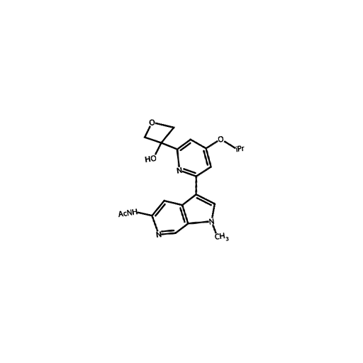 CC(=O)Nc1cc2c(-c3cc(OC(C)C)cc(C4(O)COC4)n3)cn(C)c2cn1